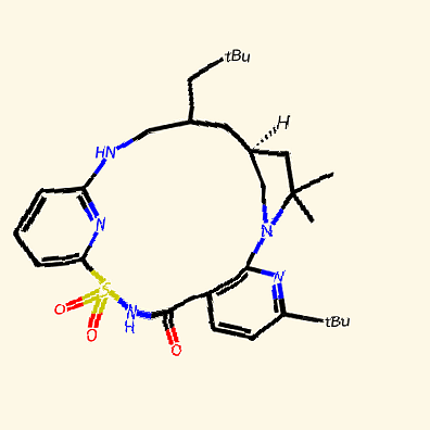 CC(C)(C)CC1CNc2cccc(n2)S(=O)(=O)NC(=O)c2ccc(C(C)(C)C)nc2N2C[C@@H](C1)CC2(C)C